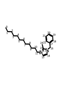 CCCCCCCCCCCC[n+]1ccn(Cc2ccccc2)c1C